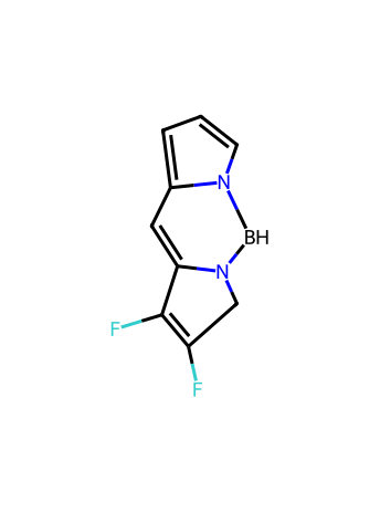 FC1=C(F)C2=Cc3cccn3BN2C1